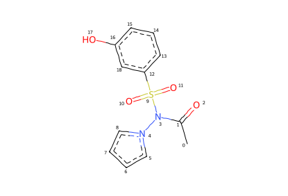 CC(=O)N(n1cccc1)S(=O)(=O)c1cccc(O)c1